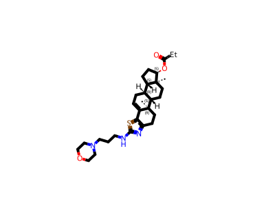 CCC(=O)O[C@H]1CC[C@H]2[C@@H]3CC=C4c5sc(NCCCN6CCOCC6)nc5CC[C@]4(C)[C@H]3CC[C@]12C